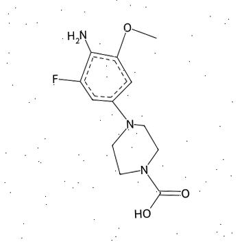 COc1cc(N2CCN(C(=O)O)CC2)cc(F)c1N